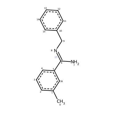 Cc1cccc(/C(N)=N/Cc2ccccc2)c1